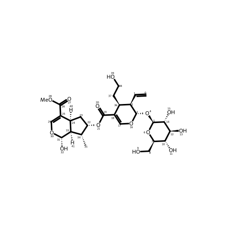 C=C[C@H]1[C@H](O[C@@H]2O[C@H](CO)[C@@H](O)[C@H](O)[C@H]2O)OC=C(C(=O)O[C@H]2C[C@@H]3C(C(=O)OC)=CO[C@@H](O)[C@@H]3[C@H]2C)[C@H]1CCO